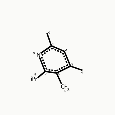 Cc1cc(C)c(C(F)(F)F)c(C(C)C)n1